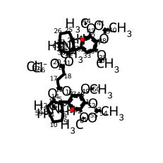 COc1cc(C[N+]2(C)[C@@H]3CC[C@H]2CC(OC(=O)CCC(=O)OC2C[C@H]4CC[C@@H](C2)[N+]4(C)Cc2cc(OC)c(OC(C)=O)c(OC)c2)C3)cc(OC)c1OC(C)=O.[Cl-].[Cl-]